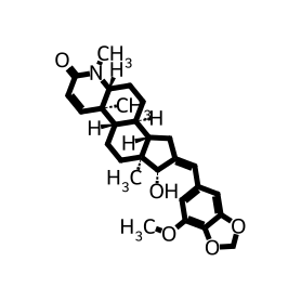 COc1cc(C=C2C[C@H]3[C@@H]4CC[C@H]5N(C)C(=O)C=C[C@]5(C)[C@H]4CC[C@]3(C)[C@H]2O)cc2c1OCO2